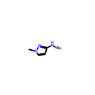 Cn1ccc(NC(C)(C)C)n1